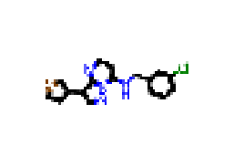 Clc1cccc(CNc2ccnc3c(-c4ccsc4)cnn23)c1